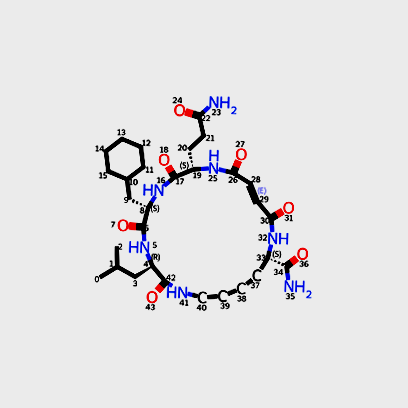 CC(C)C[C@H]1NC(=O)[C@H](CC2CCCCC2)NC(=O)[C@H](CCC(N)=O)NC(=O)/C=C/C(=O)N[C@H](C(N)=O)CCCCNC1=O